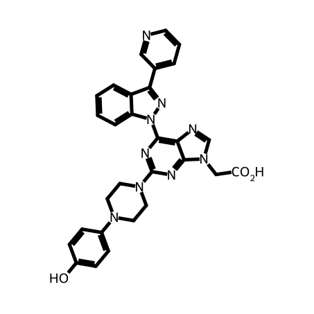 O=C(O)Cn1cnc2c(-n3nc(-c4cccnc4)c4ccccc43)nc(N3CCN(c4ccc(O)cc4)CC3)nc21